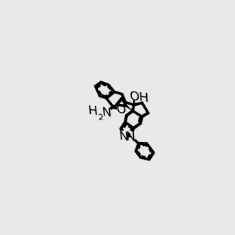 NC(=O)c1ccccc1CC[C@]1(O)CCC2=Cc3c(cnn3-c3ccccc3)C[C@@]21C1CC1